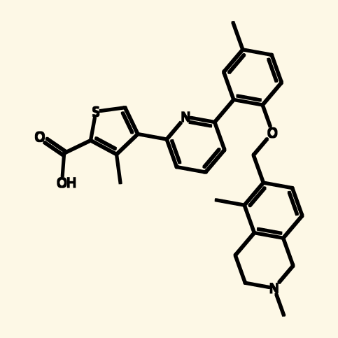 Cc1ccc(OCc2ccc3c(c2C)CCN(C)C3)c(-c2cccc(-c3csc(C(=O)O)c3C)n2)c1